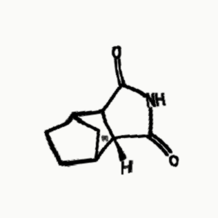 O=C1NC(=O)[C@@H]2C3CCC(C3)C12